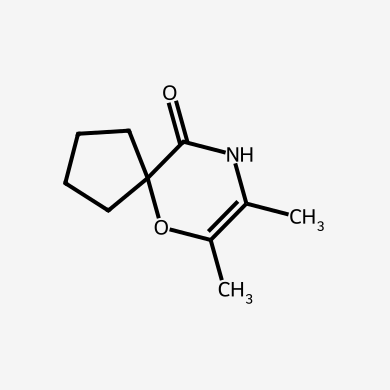 CC1=C(C)OC2(CCCC2)C(=O)N1